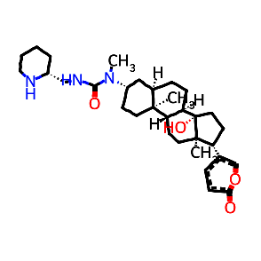 CN(C(=O)NC[C@H]1CCCCN1)[C@H]1CC[C@@]2(C)[C@H](CC[C@@H]3[C@@H]2CC[C@]2(C)[C@@H](c4ccc(=O)oc4)CC[C@]32O)C1